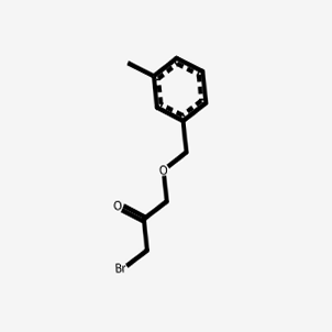 Cc1cccc(COCC(=O)CBr)c1